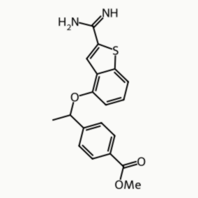 COC(=O)c1ccc(C(C)Oc2cccc3sc(C(=N)N)cc23)cc1